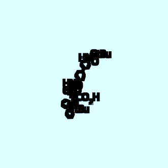 CN(C(=O)[C@H](CO)NC(=O)c1ccc(-c2ccc(NC(=O)OC(C)(C)C)cc2)cc1)[C@@H](CO[Si](c1ccccc1)(c1ccccc1)C(C)(C)C)C(=O)O